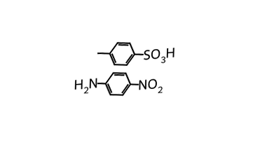 Cc1ccc(S(=O)(=O)O)cc1.Nc1ccc([N+](=O)[O-])cc1